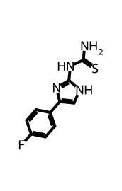 NC(=S)Nc1nc(-c2ccc(F)cc2)c[nH]1